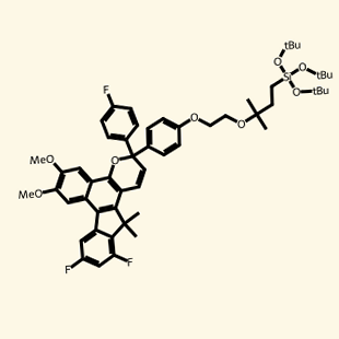 COc1cc2c3c(c4c(c2cc1OC)-c1cc(F)cc(F)c1C4(C)C)C=CC(c1ccc(F)cc1)(c1ccc(OCCOC(C)(C)CC[Si](OC(C)(C)C)(OC(C)(C)C)OC(C)(C)C)cc1)O3